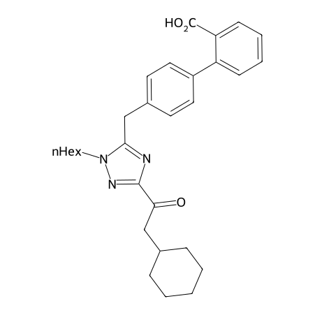 CCCCCCn1nc(C(=O)CC2CCCCC2)nc1Cc1ccc(-c2ccccc2C(=O)O)cc1